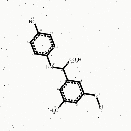 CCOc1cc(C)cc(C(Nc2ccc(C#N)cc2)C(=O)O)c1